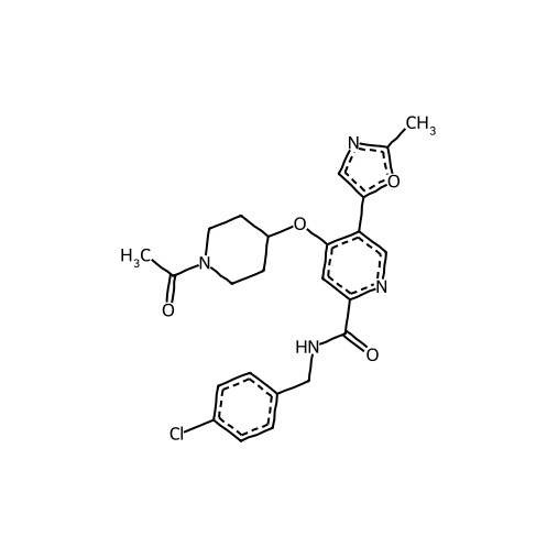 CC(=O)N1CCC(Oc2cc(C(=O)NCc3ccc(Cl)cc3)ncc2-c2cnc(C)o2)CC1